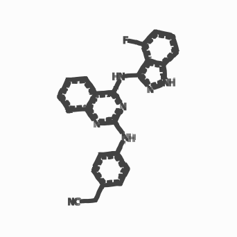 N#CCc1ccc(Nc2nc(Nc3n[nH]c4cccc(F)c34)c3ccccc3n2)cc1